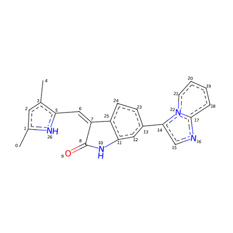 Cc1cc(C)c(/C=C2\C(=O)Nc3cc(-c4cnc5ccccn45)ccc32)[nH]1